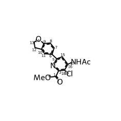 COC(=O)c1nc(-c2ccc3c(c2)CCO3)cc(NC(C)=O)c1Cl